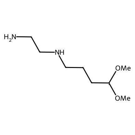 CO[C](CCCNCCN)OC